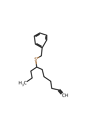 C#CCCCCC(CCC)SCc1ccccc1